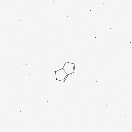 [CH]1CC=C2C=CCN12